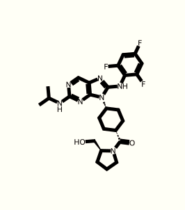 CC(C)Nc1ncc2nc(Nc3c(F)cc(F)cc3F)n([C@H]3CC[C@@H](C(=O)N4CCC[C@H]4CO)CC3)c2n1